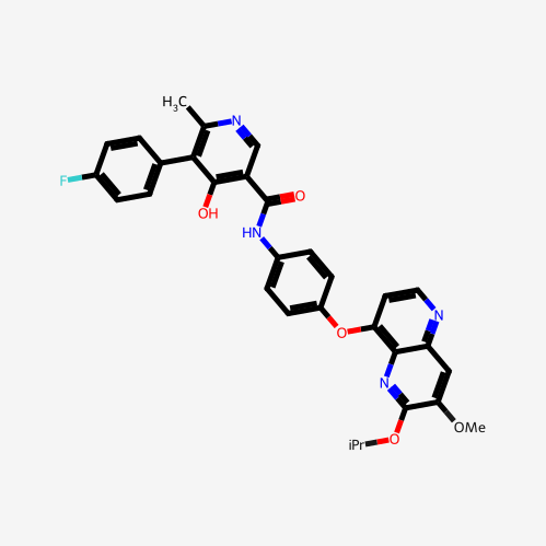 COc1cc2nccc(Oc3ccc(NC(=O)c4cnc(C)c(-c5ccc(F)cc5)c4O)cc3)c2nc1OC(C)C